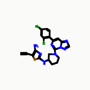 C#Cc1sc(NC2CCCN(c3nc(-c4ccc(Cl)cc4Cl)cc4ncnn34)C2)nc1N